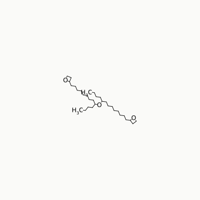 CCCCC(CCCCCCCCC1CCO1)OC(CCCC)CCCCCCCCC1CCO1